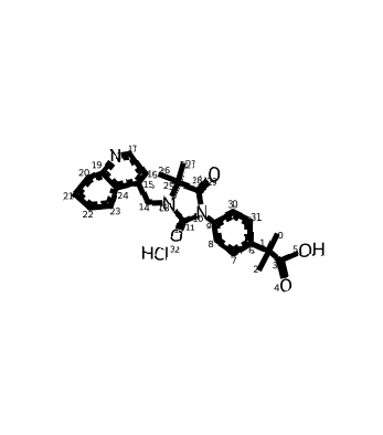 CC(C)(C(=O)O)c1ccc(N2C(=O)N(Cc3ccnc4ccccc34)C(C)(C)C2=O)cc1.Cl